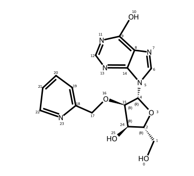 OC[C@H]1O[C@@H](n2cnc3c(O)ncnc32)[C@H](OCc2ccccn2)[C@@H]1O